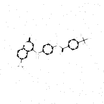 O=C(Nc1ccc(Nc2cc(=O)oc3ccc([N+](=O)[O-])cc23)cc1)c1ccc(C(F)(F)F)cc1